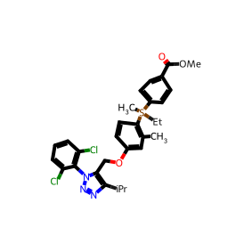 CCS(C)(c1ccc(C(=O)OC)cc1)c1ccc(OCc2c(C(C)C)nnn2-c2c(Cl)cccc2Cl)cc1C